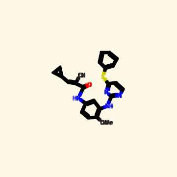 COc1ccc(NC(=O)C(C#N)=CC2CC2)cc1Nc1nccc(Sc2ccccc2)n1